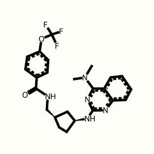 CN(C)c1nc(N[C@H]2CC[C@@H](CNC(=O)c3ccc(OC(F)(F)F)cc3)C2)nc2ccccc12